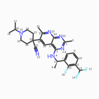 Cc1nc(N[C@H](C)c2cccc(C(F)F)c2F)c2cc(C3(C#N)CCN(C(C)C)CC3)c(C)nc2n1